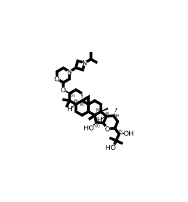 CC(C)N1CC(N2CCOC(O[C@H]3CC[C@]45CC46CC[C@]4(C)[C@@H]7C(OC([C@H](O)C(C)(C)O)C[C@H]7C)[C@H](O)C4(C)C6CC[C@H]5C3(C)C)C2)C1